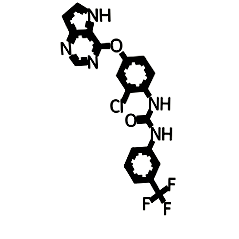 O=C(Nc1cccc(C(F)(F)F)c1)Nc1ccc(Oc2ncnc3cc[nH]c23)cc1Cl